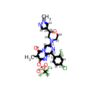 Cc1c(OS(=O)(=O)C(F)(F)F)nc2c(-c3ccc(Cl)cc3F)nc(N3CCOC(c4cnn(C)c4)C3)cn2c1=O